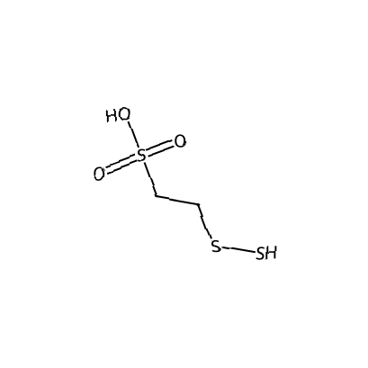 O=S(=O)(O)CCSS